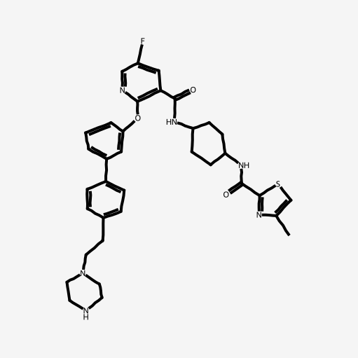 Cc1csc(C(=O)NC2CCC(NC(=O)c3cc(F)cnc3Oc3cccc(-c4ccc(CCN5CCNCC5)cc4)c3)CC2)n1